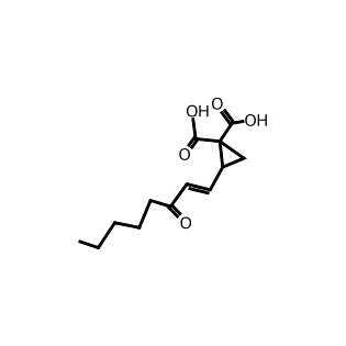 CCCCCC(=O)C=CC1CC1(C(=O)O)C(=O)O